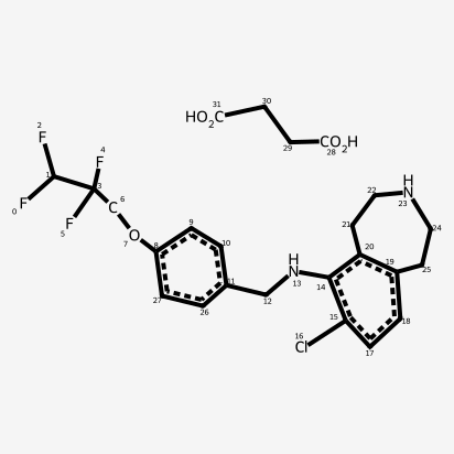 FC(F)C(F)(F)COc1ccc(CNc2c(Cl)ccc3c2CCNCC3)cc1.O=C(O)CCC(=O)O